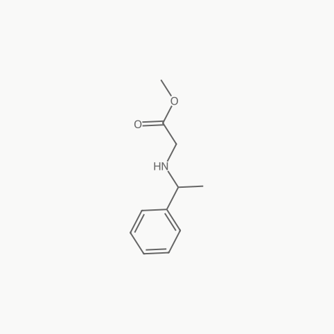 COC(=O)CNC(C)c1ccccc1